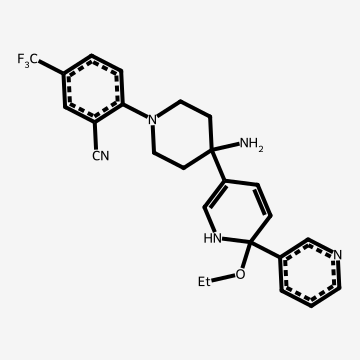 CCOC1(c2cccnc2)C=CC(C2(N)CCN(c3ccc(C(F)(F)F)cc3C#N)CC2)=CN1